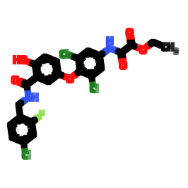 CCOC(=O)C(=O)Nc1cc(Cl)c(Oc2ccc(O)c(C(=O)NCc3ccc(Cl)cc3F)c2)c(Cl)c1